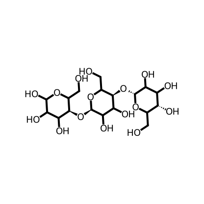 OCC1O[C@H](O[C@@H]2C(CO)O[C@H](O[C@@H]3C(CO)OC(O)C(O)C3O)C(O)C2O)C(O)C(O)[C@@H]1O